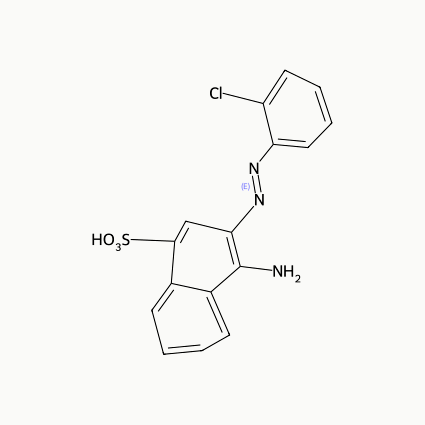 Nc1c(/N=N/c2ccccc2Cl)cc(S(=O)(=O)O)c2ccccc12